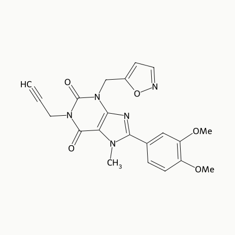 C#CCn1c(=O)c2c(nc(-c3ccc(OC)c(OC)c3)n2C)n(Cc2ccno2)c1=O